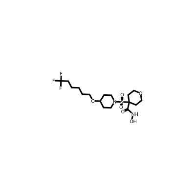 O=C(NO)C1(S(=O)(=O)N2CCC(OCCCCCC(F)(F)F)CC2)CCOCC1